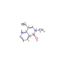 Cn1cc(C(C)(C)C)c2ncccc2c1=O